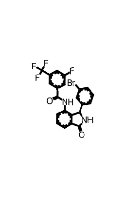 O=C(Nc1cccc2c1C(c1cccc(Br)c1)NC2=O)c1cc(F)cc(C(F)(F)F)c1